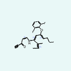 C#CC(=O)/C=C\NC(=C/C(=C/CCC)Oc1c(F)cccc1F)/C(C)=C\C